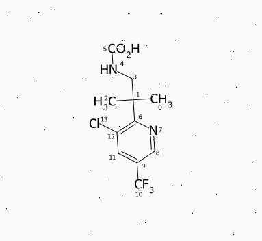 CC(C)(CNC(=O)O)c1ncc(C(F)(F)F)cc1Cl